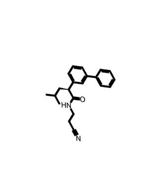 CC(C)C[C@H](C(=O)NCCC#N)c1cccc(-c2ccccc2)c1